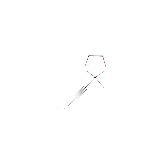 CC1(C#[C][SnH])OCCO1